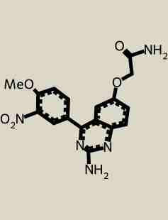 COc1ccc(-c2nc(N)nc3ccc(OCC(N)=O)cc23)cc1[N+](=O)[O-]